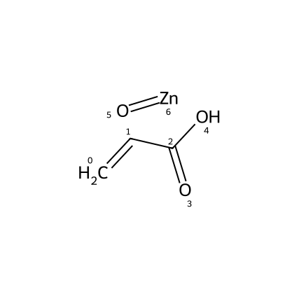 C=CC(=O)O.[O]=[Zn]